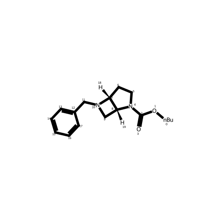 CCCCOC(=O)N1CC[C@@H]2[C@H]1CN2Cc1ccccc1